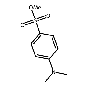 COS(=O)(=O)c1ccc(N(C)C)cc1